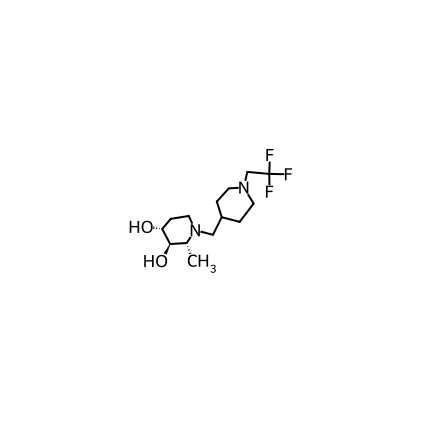 C[C@@H]1[C@@H](O)[C@H](O)CCN1CC1CCN(CC(F)(F)F)CC1